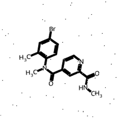 CNC(=O)c1cc(C(=O)N(C)c2ccc(Br)cc2C)ccn1